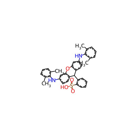 Cc1cccc(C)c1Nc1ccc2c(c1)Oc1cc(Nc3c(C)cccc3C)ccc1C2c1ccccc1S(=O)(=O)O